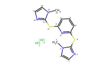 Cl.Cl.Cn1ccnc1Sc1cccc(Sc2nccn2C)n1